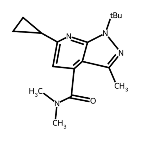 Cc1nn(C(C)(C)C)c2nc(C3CC3)cc(C(=O)N(C)C)c12